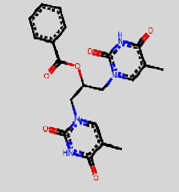 Cc1cn(CC(Cn2cc(C)c(=O)[nH]c2=O)OC(=O)c2ccccc2)c(=O)[nH]c1=O